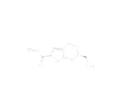 COC(=O)c1cc2n(c1)C[C@H](CO)OC2